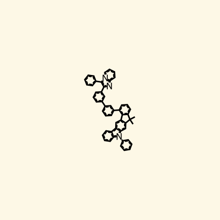 CC1(C)c2cc3c(cc2-c2c(-c4cccc(-c5cccc(-c6nc7ccccn7c6-c6ccccc6)c5)c4)cccc21)c1ccccc1n3-c1ccccc1